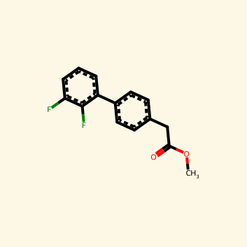 COC(=O)Cc1ccc(-c2cccc(F)c2F)cc1